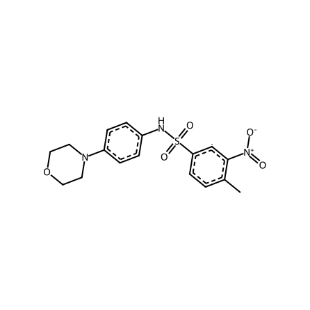 Cc1ccc(S(=O)(=O)Nc2ccc(N3CCOCC3)cc2)[c]c1[N+](=O)[O-]